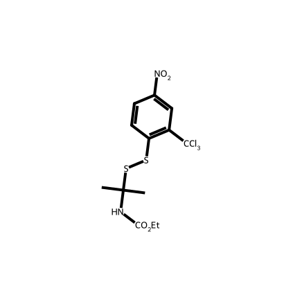 CCOC(=O)NC(C)(C)SSc1ccc([N+](=O)[O-])cc1C(Cl)(Cl)Cl